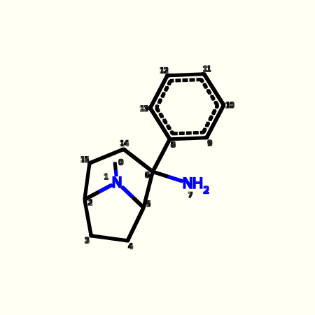 CN1C2CCC1C(N)(c1ccccc1)CC2